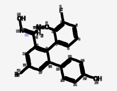 COc1c(F)cccc1-c1c(/C(N)=N/O)cc(Br)cc1-c1ccc(O)cc1